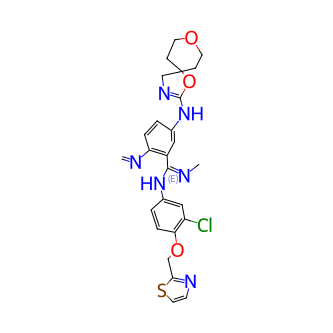 C=Nc1ccc(NC2=NCC3(CCOCC3)O2)cc1/C(=N\C)Nc1ccc(OCc2nccs2)c(Cl)c1